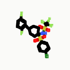 O=S(=O)(NC1(S(=O)(=O)c2ccc(Cl)cc2)CCC(c2cc(F)ccc2F)CC1)C(F)(F)F